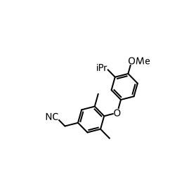 COc1ccc(Oc2c(C)cc(CC#N)cc2C)cc1C(C)C